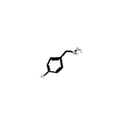 [CH2-][OH+]Cc1ccc(Cl)cc1